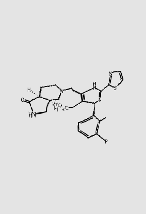 Cc1c(F)cccc1[C@@H]1N=C(c2nccs2)NC(CN2CC[C@@H]3C(=O)NC[C@@H]3C2)=C1C(=O)O